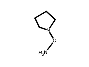 NON1CCCC1